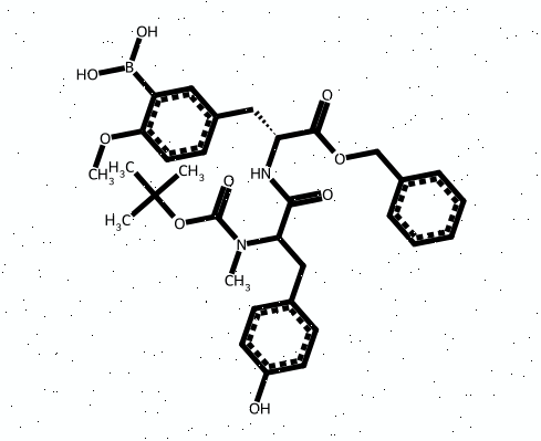 COc1ccc(C[C@@H](NC(=O)C(Cc2ccc(O)cc2)N(C)C(=O)OC(C)(C)C)C(=O)OCc2ccccc2)cc1B(O)O